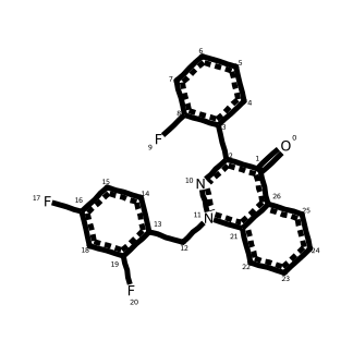 O=c1c(-c2ccccc2F)nn(Cc2ccc(F)cc2F)c2ccccc12